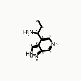 CCC(N)c1cncc2n[nH]cc12